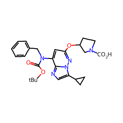 CC(C)(C)OC(=O)N(Cc1ccccc1)c1cc(OC2CCN(C(=O)O)C2)nn2c(C3CC3)cnc12